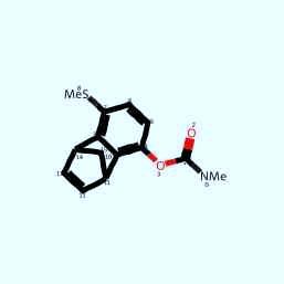 CNC(=O)Oc1ccc(SC)c2c1C1C=CC2C1